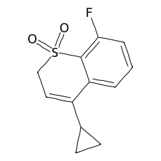 O=S1(=O)CC=C(C2CC2)c2cccc(F)c21